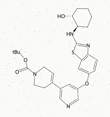 CC(C)(C)OC(=O)N1CC=C(c2cncc(Oc3ccc4nc(N[C@@H]5CCCC[C@H]5O)sc4c3)c2)CC1